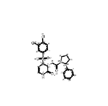 O=C1NC=CN(S(=O)(=O)c2ccc(Cl)c(Cl)c2)[C@@H]1CC(=O)N1CCC[C@H]1c1ccccc1